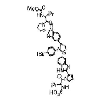 COC(=O)N[C@H](C(=O)N1CCC[C@H]1c1nc2cc([C@H]3CC[C@H](c4ccc5[nH]c(-c6cccn6C(=O)[C@@H](NC(=O)O)C(C)C)nc5c4)N3c3ccc(C(C)(C)C)cc3)ccc2[nH]1)C(C)C